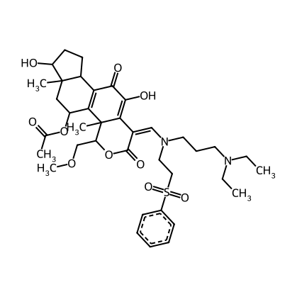 CCN(CC)CCCN(/C=C1\C(=O)OC(COC)C2(C)C1=C(O)C(=O)C1=C2C(OC(C)=O)CC2(C)C(O)CCC12)CCS(=O)(=O)c1ccccc1